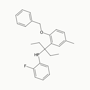 CCC(CC)(Pc1ccccc1F)c1cc(C)ccc1OCc1ccccc1